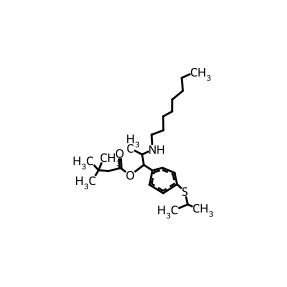 CCCCCCCCNC(C)C(OC(=O)CC(C)(C)C)c1ccc(SC(C)C)cc1